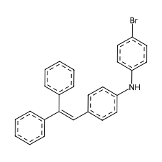 Brc1ccc(Nc2ccc(C=C(c3ccccc3)c3ccccc3)cc2)cc1